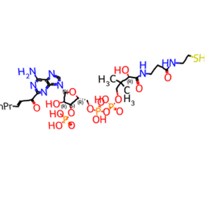 CCCC=CC(=O)c1nc(N)c2ncn([C@@H]3O[C@H](COP(=O)(O)OP(=O)(O)OCC(C)(C)[C@@H](O)C(=O)NCCC(=O)NCCS)[C@@H](OP(=O)(O)O)[C@H]3O)c2n1